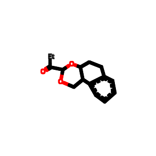 CCC(=O)C1OCC2c3ccccc3CCC2O1